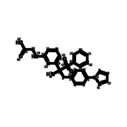 NC(Cc1ccc(-n2cccn2)cc1)(c1cccc(NCC(=O)O)n1)S(=O)(=O)c1cccnc1